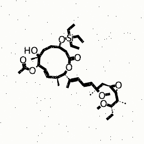 CC[C@H](OC)[C@@H](C)[C@H]1O[C@@H]1C[C@](C)(/C=C/C=C(\C)[C@H]1OC(=O)C[C@H](O[Si](CC)(CC)CC)CC[C@@](C)(O)[C@@H](OC(C)=O)/C=C/[C@@H]1C)OC